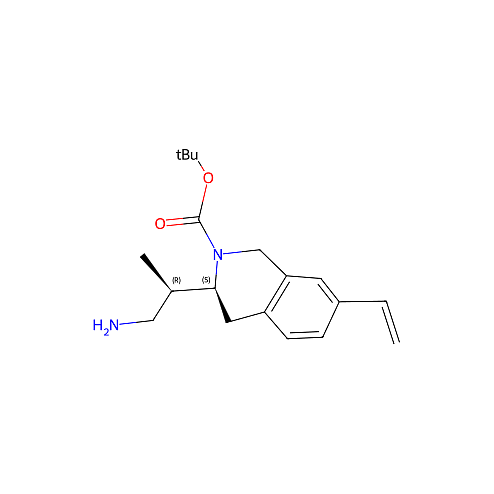 C=Cc1ccc2c(c1)CN(C(=O)OC(C)(C)C)[C@H]([C@H](C)CN)C2